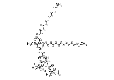 CCCCCCCCCCCCCCCC(=O)OC(C)C(CSCCC(=O)N[C@@H](CCC(=O)OC(C)(C)C)C(=O)OC(C)(C)C)OC(=O)CCCCCCCCCCCCCCC